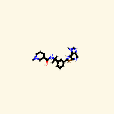 CN1CCCC(C(=O)NC(C)(C)c2cccc(-c3nc4c(ncc5ncn(C)c54)s3)c2)C1